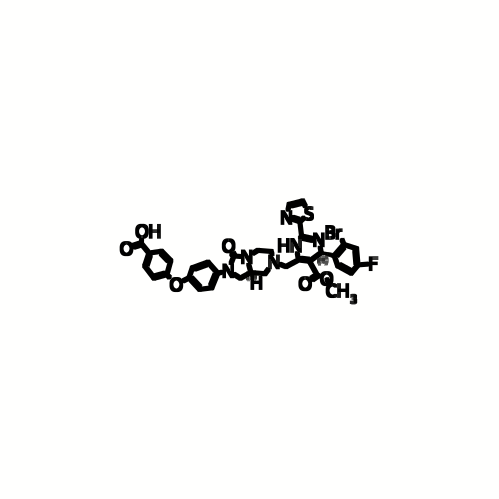 COC(=O)C1=C(CN2CCN3C(=O)N(c4ccc(Oc5ccc(C(=O)O)cc5)cc4)C[C@@H]3C2)NC(c2nccs2)=N[C@H]1c1ccc(F)cc1Br